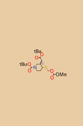 COC(=O)OCSC1CCN(C(=O)OC(C)(C)C)C/C1=C\C(=O)OC(C)(C)C